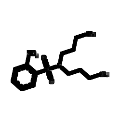 CC(C)(C)CCCN(CCCC(C)(C)C)S(=O)(=O)c1ccccc1[N+](=O)[O-]